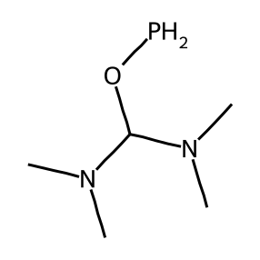 CN(C)C(OP)N(C)C